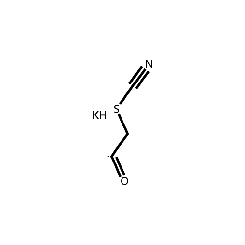 N#CSC[C]=O.[KH]